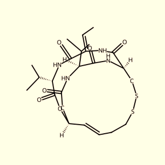 C/C=C1\NC(=O)[C@H]2CSSCC/C=C/[C@H](CC(=O)N[C@@H](C(C)C)C(=O)N2)OC(=O)[C@H](C(C)C)NC1=O